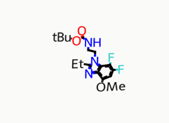 CCc1nc2c(OC)cc(F)c(F)c2n1CCNC(=O)OC(C)(C)C